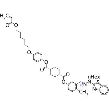 C=CC(=O)OCCCCCCOc1ccc(OC(=O)[C@H]2CC[C@@H](C(=O)Oc3ccc(C)c(/C=N/N(CCCCCC)c4nc5ccccc5s4)c3)CC2)cc1